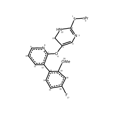 CCCSC1=NC=C(Oc2ncccc2-c2ccc(F)cc2OC)CN1